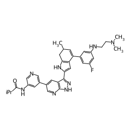 CC1C=C(c2cc(F)cc(NCCN(C)C)c2)c2cc(-c3n[nH]c4ncc(-c5cncc(NC(=O)C(C)C)c5)cc34)[nH]c2C1